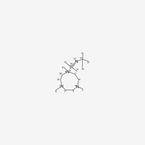 CN1CCN(C)CC[N+](C)([Ti]([CH3])([CH3])=[N]C(C)(C)C)CC1